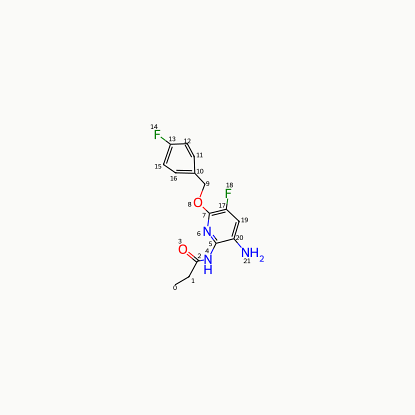 CCC(=O)Nc1nc(OCc2ccc(F)cc2)c(F)cc1N